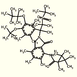 Cc1c(C)c2c(c(NC(=O)C3(C)C(C)(C)C3(C)C)c1C)C(=O)N(C(C)(c1c(C)c(C)c(OC(C)(C)C)c(OC(C)(C)C(C)(C)C)c1C)C(C)(C)S(=O)(=O)C(C)(C)C)C2